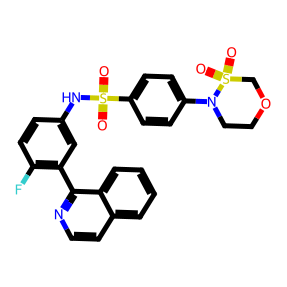 O=S(=O)(Nc1ccc(F)c(-c2nccc3ccccc23)c1)c1ccc(N2CCOCS2(=O)=O)cc1